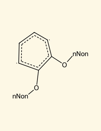 CCCCCCCCCOc1[c]cc[c]c1OCCCCCCCCC